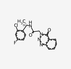 C[C@H](NC(=O)Cn1nnc2ccccc2c1=O)c1ccc(F)cc1Cl